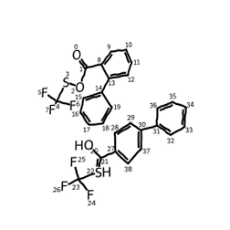 O=C(OSC(F)(F)F)c1ccccc1-c1ccccc1.OC(=[SH]C(F)(F)F)c1ccc(-c2ccccc2)cc1